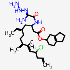 C=CCC(Cl)/C=C(\C)C(=C)CC/C(=C\C)C[C@H](CC(=O)OC1CCC2=C(CCC2)C1)NC(=O)/C(N)=N/NN